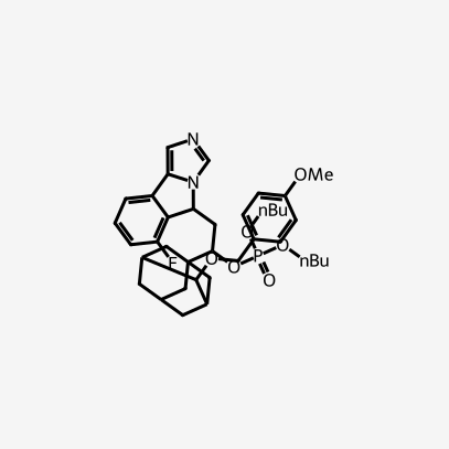 CCCCOP(=O)(OCCCC)OC(CC1c2c(F)cccc2-c2cncn21)C12CC3CC(C1)C(OCc1ccc(OC)cc1)C(C3)C2